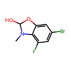 CN1c2c(F)cc(Br)cc2OC1O